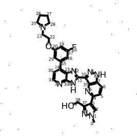 Cn1cc(-c2ccc3[nH]nc(-c4nc5c(-c6cc(F)cc(OCCN7CCCC7)c6)ccnc5[nH]4)c3n2)c(CO)n1